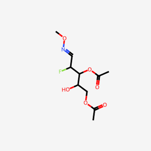 CON=CC(F)C(OC(C)=O)C(O)COC(C)=O